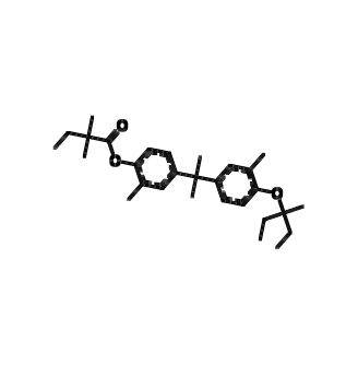 CCC(C)(CC)Oc1ccc(C(C)(C)c2ccc(OC(=O)C(C)(C)CC)c(C)c2)cc1C